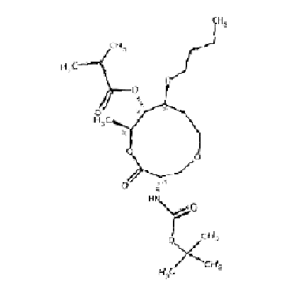 CCCCO[C@H]1CCOC[C@H](NC(=O)OC(C)(C)C)C(=O)O[C@@H](C)[C@@H]1OC(=O)C(C)C